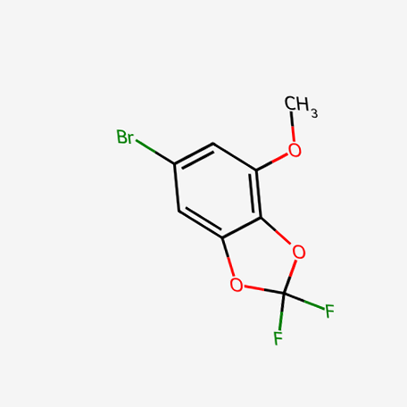 COc1cc(Br)cc2c1OC(F)(F)O2